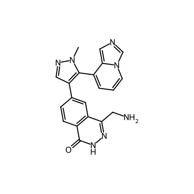 Cn1ncc(-c2ccc3c(=O)[nH]nc(CN)c3c2)c1-c1cccn2cncc12